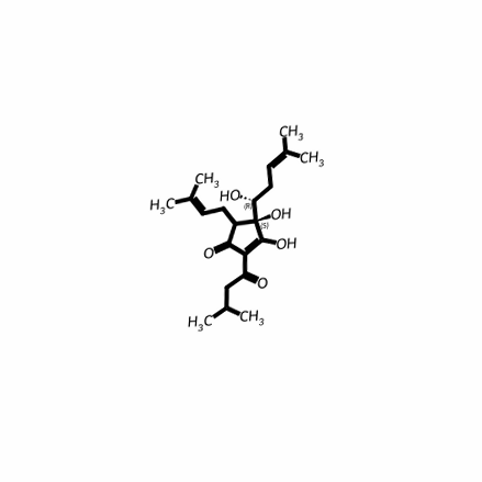 CC(C)=CCC1C(=O)C(C(=O)CC(C)C)=C(O)[C@@]1(O)[C@H](O)CC=C(C)C